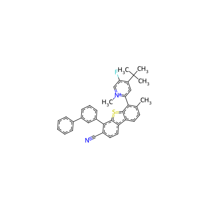 Cc1ccc2c(sc3c(-c4cccc(-c5ccccc5)c4)c(C#N)ccc32)c1-c1cc(C(C)(C)C)c(F)c[n+]1C